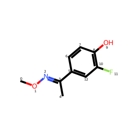 CO/N=C(\C)c1ccc(O)c(F)c1